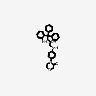 Nc1ccccc1C(C[C@H](O)C[AsH]c1ccc(N2CCOCC2=O)cc1)(c1ccccc1)c1ccccc1